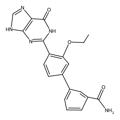 CCOc1cc(-c2cccc(C(N)=O)c2)ccc1-c1nc2[nH]cnc2c(=O)[nH]1